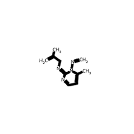 C=Nn1c(C)ccn/c1=N/CC(=C)C